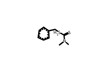 CN(C)C(=S)[SH2]Cc1ccccc1